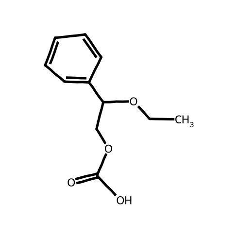 CCOC(COC(=O)O)c1ccccc1